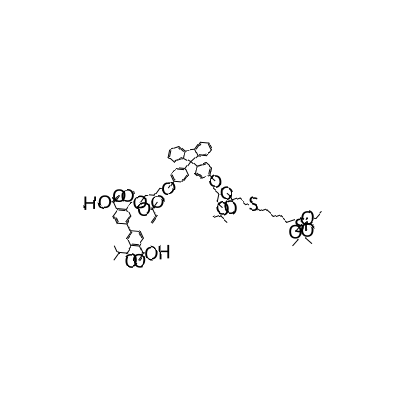 C=CC(=O)OC(COC(=O)c1cc(-c2ccc(C(=O)O)c(C(=O)C(C)C)c2)ccc1C(=O)O)COc1ccc(C2(c3ccc(OCC(COC(C)C)OC(=O)CCSCCCCCC[Si](OCC)(OCC)OCC)cc3)c3ccccc3-c3ccccc32)cc1